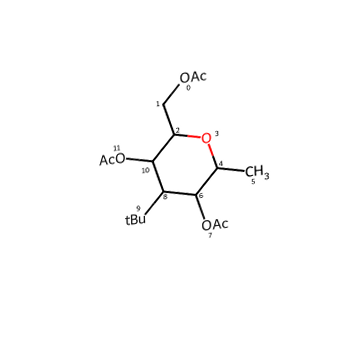 CC(=O)OCC1OC(C)C(OC(C)=O)C(C(C)(C)C)C1OC(C)=O